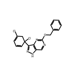 ClC1=CC=CC(Cl)(c2n[nH]c3cnc(OCc4ccccc4)nc23)C1